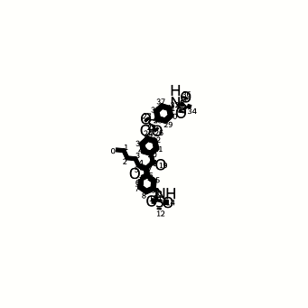 CCCCc1oc2ccc(NS(C)(=O)=O)cc2c1C(=O)c1ccc(OS(=O)(=O)c2ccc(NS(C)(=O)=O)cc2)cc1